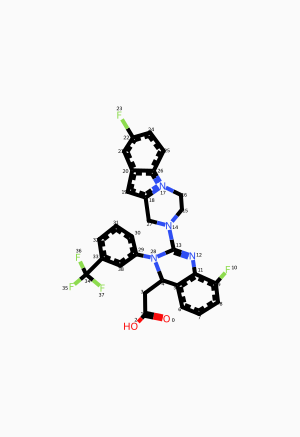 O=C(O)CC1c2cccc(F)c2N=C(N2CCn3c(cc4cc(F)ccc43)C2)N1c1cccc(C(F)(F)F)c1